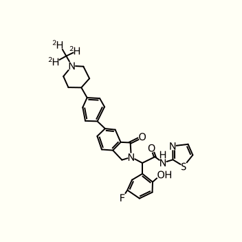 [2H]C([2H])([2H])N1CCC(c2ccc(-c3ccc4c(c3)C(=O)N(C(C(=O)Nc3nccs3)c3cc(F)ccc3O)C4)cc2)CC1